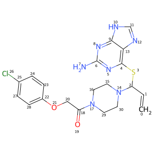 C=CC(Sc1nc(N)nc2[nH]cnc12)N1CCN(C(=O)COc2ccc(Cl)cc2)CC1